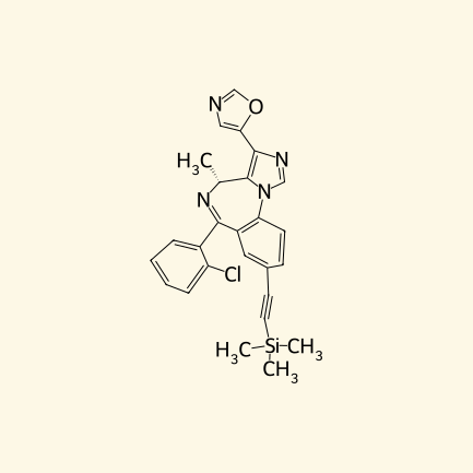 C[C@H]1N=C(c2ccccc2Cl)c2cc(C#C[Si](C)(C)C)ccc2-n2cnc(-c3cnco3)c21